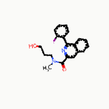 CN(CCCO)C(=O)c1cc2ccccc2c(-c2ccccc2I)n1